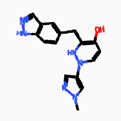 Cn1cc(N2C=CC(O)=C(Cc3ccc4[nH]ncc4c3)N2)cn1